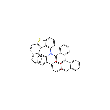 c1ccc(-c2ccccc2N(c2cc3ccc4ccccc4c3c3ccccc23)c2cccc3sc4ccc5ccccc5c4c23)cc1